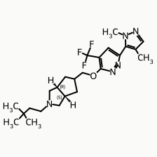 Cc1cnn(C)c1-c1cc(C(F)(F)F)c(OCC2C[C@@H]3CN(CCC(C)(C)C)C[C@@H]3C2)nn1